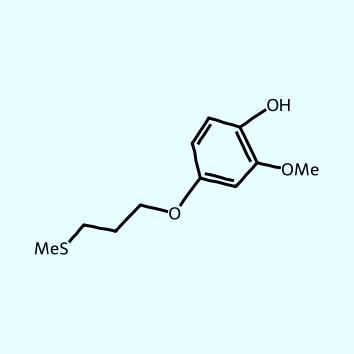 COc1cc(OCCCSC)ccc1O